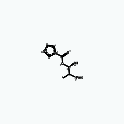 CCCCCC(C)[C@H](O)OC(=O)n1ccnc1